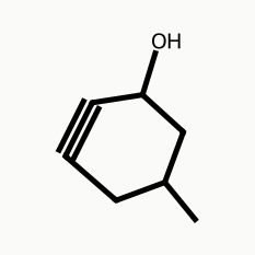 CC1CC#CC(O)C1